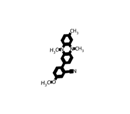 COc1ccc(-c2ccc3c(c2)N(C)c2ccc(C)cc2N3C)c(C#N)c1